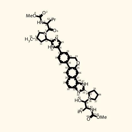 COC(=O)NC(C(=O)N1C[C@@H](C)CC1c1ncc(-c2ccc3c(c2)COc2cc4c(ccc5nc([C@@H]6CCCN6C(O)C(NC(=O)OC)C(C)C)[nH]c54)cc2-3)[nH]1)C(C)C